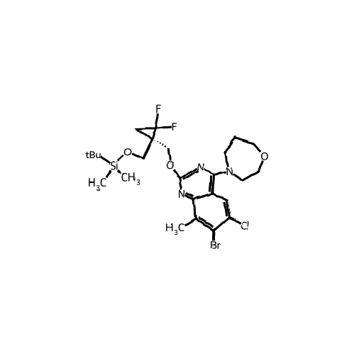 Cc1c(Br)c(Cl)cc2c(N3CCCOCC3)nc(OC[C@]3(CO[Si](C)(C)C(C)(C)C)CC3(F)F)nc12